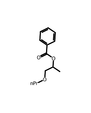 CCCOCC(C)OC(=O)c1ccccc1